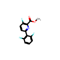 COC(=O)c1nc(-c2c(F)cccc2F)ccc1F